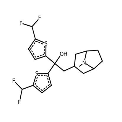 CN1C2CCC1CC(CC(O)(c1ccc(C(F)F)s1)c1ccc(C(F)F)s1)C2